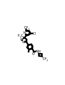 Cc1cc(C2=NO[C@](c3cc(Cl)cc(C(F)(F)F)n3)(C(F)(F)F)C2)ccc1C(=O)N[C@H]1C[C@H](C(F)(F)F)C1